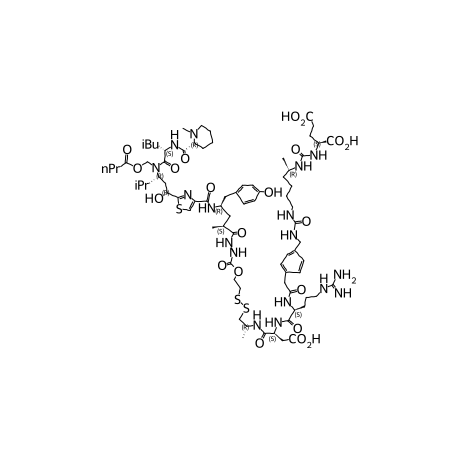 CCCC(=O)OCN(C(=O)[C@@H](NC(=O)[C@H]1CCCCN1C)C(C)CC)[C@H](C[C@@H](O)c1nc(C(=O)N[C@@H](Cc2ccc(O)cc2)C[C@H](C)C(=O)NNC(=O)OCCSSC[C@@H](C)NC(=O)[C@H](CC(=O)O)NC(=O)[C@H](CCCNC(=N)N)NC(=O)Cc2ccc(CNC(=O)NCCCC[C@@H](C)NC(=O)N[C@@H](CCC(=O)O)C(=O)O)cc2)cs1)C(C)C